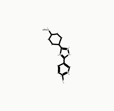 CCCCCC1CCC(c2noc(-c3ccc(F)nc3)n2)CC1